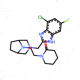 O=C1CCCCN1CCN1C2CCC1CN(Cc1nc3c(Cl)cc(F)cc3[nH]1)C2